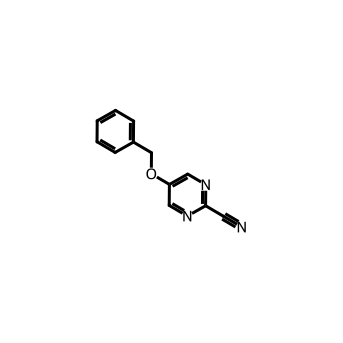 N#Cc1ncc(OCc2ccccc2)cn1